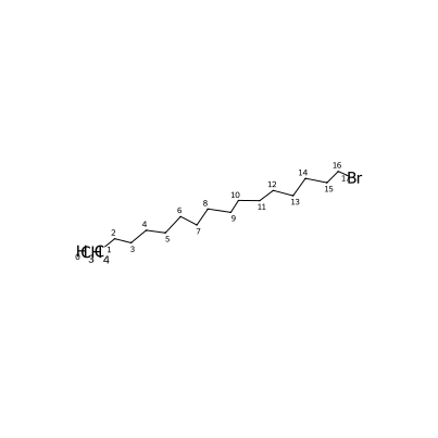 C.CCCCCCCCCCCCCCCCBr